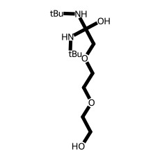 CC(C)(C)NC(O)(COCCOCCO)NC(C)(C)C